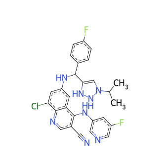 CC(C)N1C=C(C(Nc2cc(Cl)c3ncc(C#N)c(Nc4cncc(F)c4)c3c2)c2ccc(F)cc2)NN1